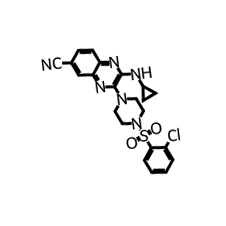 N#Cc1ccc2nc(NC3CC3)c(N3CCN(S(=O)(=O)c4ccccc4Cl)CC3)nc2c1